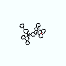 c1ccc(-c2ccc(N(c3ccc4c(c3)c3c(n4-c4ccccc4)N(c4ccccc4)c4ccccc4C3)c3cc4ccccc4c4ccccc34)cc2)cc1